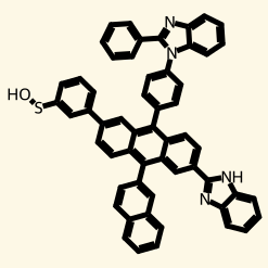 OSc1cccc(-c2ccc3c(-c4ccc5ccccc5c4)c4cc(-c5nc6ccccc6[nH]5)ccc4c(-c4ccc(-n5c(-c6ccccc6)nc6ccccc65)cc4)c3c2)c1